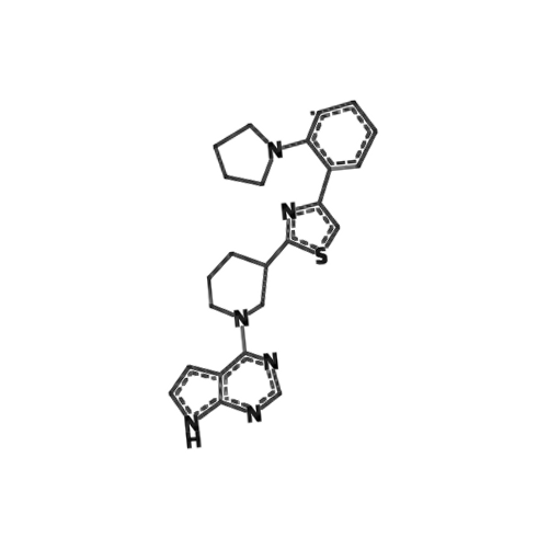 [c]1cccc(-c2csc(C3CCCN(c4ncnc5[nH]ccc45)C3)n2)c1N1CCCC1